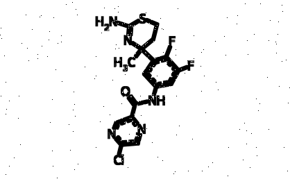 CC1(c2cc(NC(=O)c3cnc(Cl)cn3)cc(F)c2F)CCSC(N)=N1